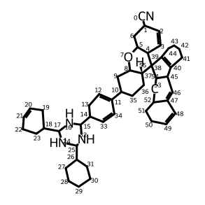 N#CC1C=CC2C(C1)OC1CC(C3=CCC(C4NC(C5CC=CCC5)NC(C5CCCCC5)N4)C=C3)CC[C@H]1C21C2=C(CCCC2)C2C=C3C=CCCC3CC21